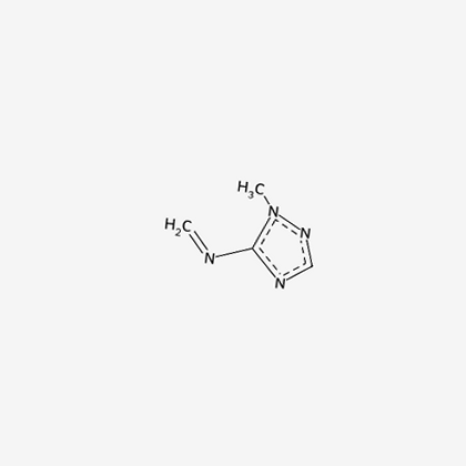 C=Nc1ncnn1C